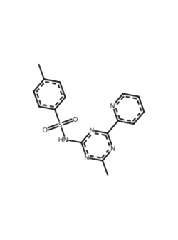 Cc1ccc(S(=O)(=O)Nc2nc(C)nc(-c3ccccn3)n2)cc1